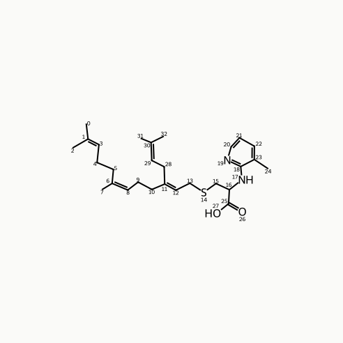 CC(C)=CCCC(C)=CCCC(=CCSCC(Nc1ncccc1C)C(=O)O)CC=C(C)C